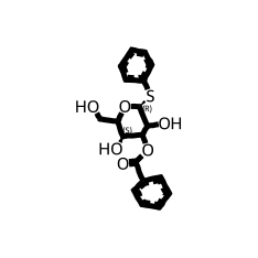 O=C(OC1C(O)[C@@H](Sc2ccccc2)OC(CO)[C@@H]1O)c1ccccc1